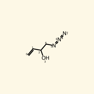 C=CC(O)CN=[N+]=[N-]